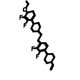 C=CC1CCC(c2ccc(CCC3CCC(C4=CCC(OCC)C(F)=C4F)CC3)c(F)c2F)CC1